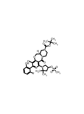 CC(C)(C)OC(=O)N1CCN2C(=O)c3c(N4CC(OS(C)(=O)=O)CC4(C)C)nc(-c4c(O)cccc4F)c(Cl)c3OC[C@H]2C1